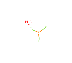 FP(F)F.O